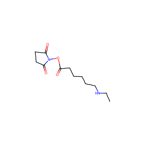 CCNCCCCCC(=O)ON1C(=O)CCC1=O